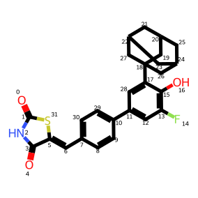 O=C1NC(=O)C(=Cc2ccc(-c3cc(F)c(O)c(C45CC6CC(CC(C6)C4)C5)c3)cc2)S1